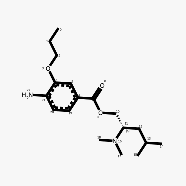 CCCOc1cc(C(=O)OC[C@H](CC(C)C)N(C)C)ccc1N